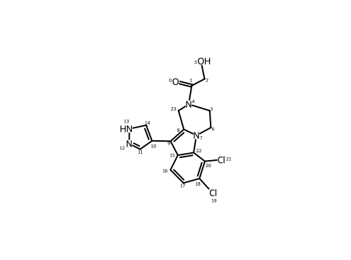 O=C(CO)N1CCn2c(c(-c3cn[nH]c3)c3ccc(Cl)c(Cl)c32)C1